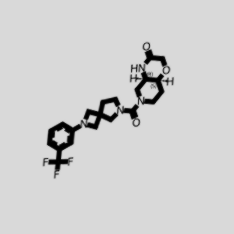 O=C1CO[C@H]2CCN(C(=O)N3CCC4(C3)CN(c3cccc(C(F)(F)F)c3)C4)C[C@H]2N1